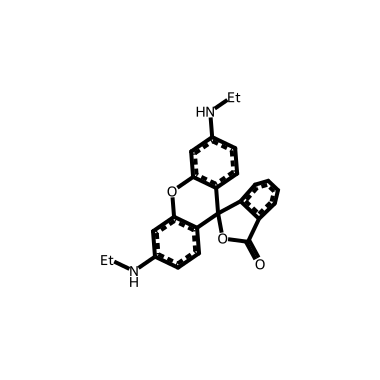 CCNc1ccc2c(c1)Oc1cc(NCC)ccc1C21OC(=O)c2ccccc21